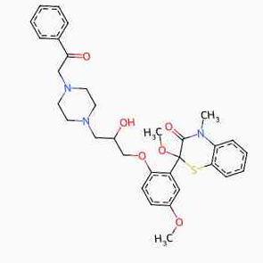 COc1ccc(OCC(O)CN2CCN(CC(=O)c3ccccc3)CC2)c(C2(OC)Sc3ccccc3N(C)C2=O)c1